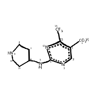 O=C(O)c1cnc(NC2CCNCC2)nc1C(F)(F)F